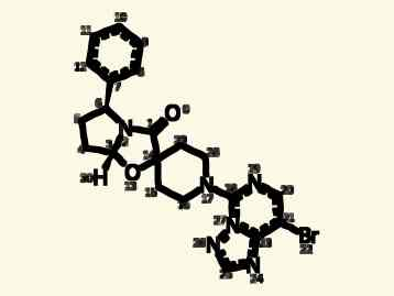 O=C1N2[C@@H](CC[C@H]2c2ccccc2)OC12CCN(c1ncc(Br)c3ncnn13)CC2